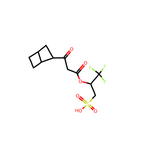 O=C(CC(=O)C1CC2CCC21)OC(CS(=O)(=O)O)C(F)(F)F